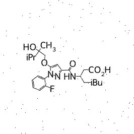 CCC(C)CC(CC(=O)O)NC(=O)c1cc(OCC(C)(O)C(C)C)n(-c2ccccc2F)n1